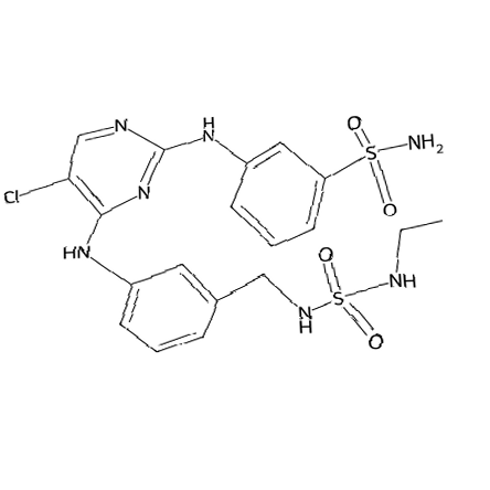 CCNS(=O)(=O)NCc1cccc(Nc2nc(Nc3cccc(S(N)(=O)=O)c3)ncc2Cl)c1